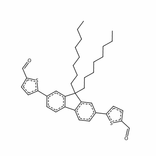 CCCCCCCCC1(CCCCCCCC)c2cc(-c3ccc(C=O)s3)ccc2-c2ccc(-c3ccc(C=O)s3)cc21